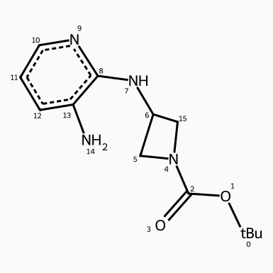 CC(C)(C)OC(=O)N1CC(Nc2ncccc2N)C1